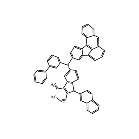 C=Cc1c(/C=C\C)n(-c2ccc3ccccc3c2)c2ccc(N(c3cccc(-c4ccccc4)c3)c3ccc4c(c3)-c3cccc5cc6ccccc6c-4c35)cc12